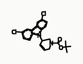 CC(C)(C)OC(=O)N1CC=CC(n2c3ccc(Cl)cc3c3cc(Cl)ccc32)C1